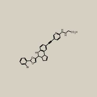 O=C(O)CNNc1ccc(C#Cc2ccc3c(c2)C2C=CCC2C(C2=COC(c4ccccc4Br)O2)N3)cn1